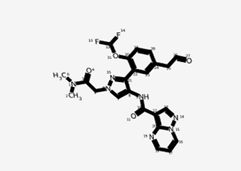 CN(C)C(=O)Cn1cc(NC(=O)c2cnn3cccnc23)c(-c2cc(CC=O)ccc2OC(F)F)n1